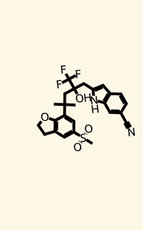 CC(C)(CC(O)(Cc1cc2ccc(C#N)cc2[nH]1)C(F)(F)F)c1cc(S(C)(=O)=O)cc2c1OCC2